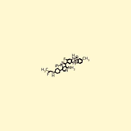 Cc1ccc(F)c(S(=O)(=O)Nc2cc(F)c(-c3nn(C(C)C)c4c(C5CCC(NC[C@@H](C)F)CC5)cnc(N)c34)cc2F)c1